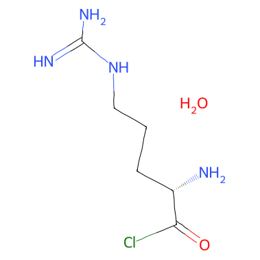 N=C(N)NCCC[C@H](N)C(=O)Cl.O